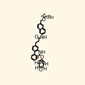 CN1[C@@H]2C[C@@H](OC(=O)Nc3cc(CCC(=O)Nc4ccc5cc(CO[Si](C)(C)C(C)(C)C)ccc5c4)ccc3-c3ccccc3)C[C@H]1[C@@H]1O[C@@H]12